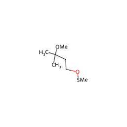 COC(C)(C)CCOSC